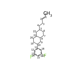 CC=CCCC1CCC2CC(c3cc(F)cc(F)c3)CCC2C1